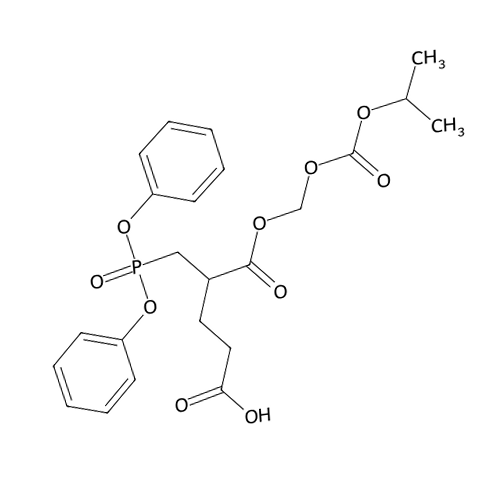 CC(C)OC(=O)OCOC(=O)C(CCC(=O)O)CP(=O)(Oc1ccccc1)Oc1ccccc1